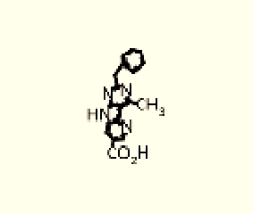 Cc1nc(Cc2ccccc2)nc2[nH]c3cc(C(=O)O)cnc3c12